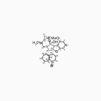 COc1cncc2c1[C@]1(O)[C@H](O)[C@H](CN(C)C3CC3)[C@@H](c3ccccc3)[C@]1(c1ccc(Br)cc1)O2